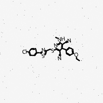 [CH2]COc1ccc(-c2c(C#N)c(NC)nc(SCc3csc(-c4ccc(Cl)cc4)n3)c2C#N)cc1